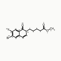 COC(=O)CCCCn1ccc2cc(Br)c(F)cc2c1=O